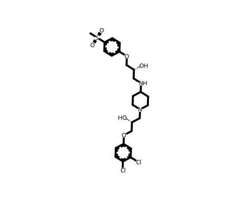 CS(=O)(=O)c1ccc(OC[C@H](O)CNC2CCN(C[C@@H](O)COc3ccc(Cl)c(Cl)c3)CC2)cc1